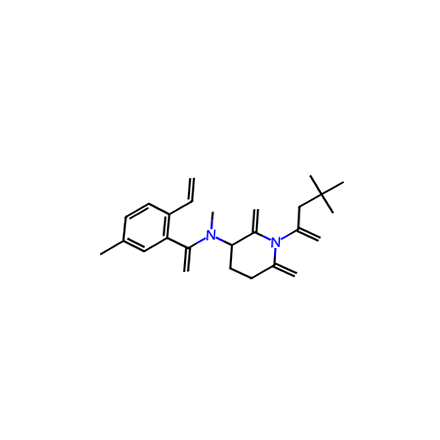 C=Cc1ccc(C)cc1C(=C)N(C)C1CCC(=C)N(C(=C)CC(C)(C)C)C1=C